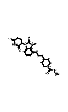 Cn1c(=O)n(C2CCC(=O)NC2=O)c2cccc(CCCC3CCN(C(=O)OC(C)(C)C)CC3)c21